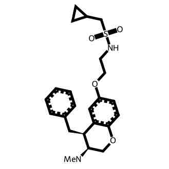 CN[C@@H]1COc2ccc(OCCNS(=O)(=O)CC3CC3)cc2[C@@H]1Cc1ccccc1